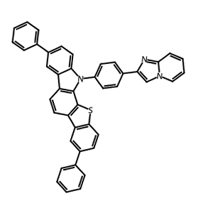 c1ccc(-c2ccc3sc4c(ccc5c6cc(-c7ccccc7)ccc6n(-c6ccc(-c7cn8ccccc8n7)cc6)c54)c3c2)cc1